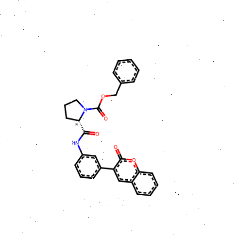 O=C(Nc1cccc(-c2cc3ccccc3oc2=O)c1)[C@@H]1CCCN1C(=O)OCc1ccccc1